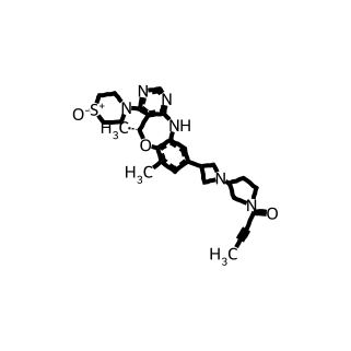 CC#CC(=O)N1CCC(N2CC(c3cc(C)c4c(c3)Nc3ncnc(N5CC[S+]([O-])CC5)c3[C@@H](C)O4)C2)C1